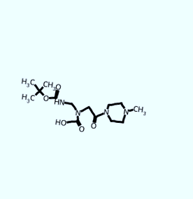 CN1CCN(C(=O)CN(CNC(=O)OC(C)(C)C)C(=O)O)CC1